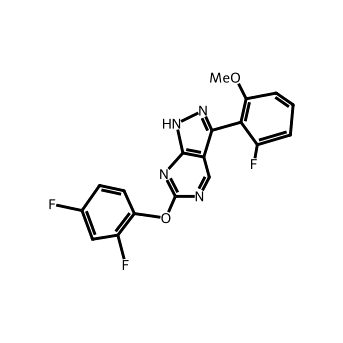 COc1cccc(F)c1-c1n[nH]c2nc(Oc3ccc(F)cc3F)ncc12